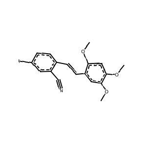 COc1cc(OC)c(OC)cc1C=Cc1ccc(I)cc1C#N